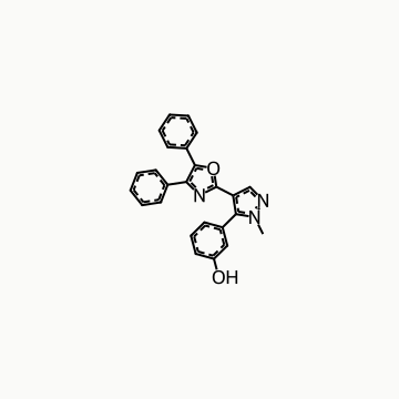 Cn1ncc(-c2nc(-c3ccccc3)c(-c3ccccc3)o2)c1-c1cccc(O)c1